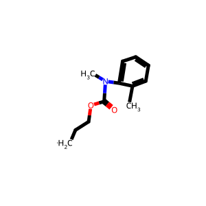 [CH2]CCOC(=O)N(C)c1ccccc1C